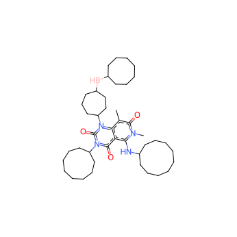 Cc1c(=O)n(C)c(NC2CCCCCCCCC2)c2c(=O)n(C3CCCCCCCC3)c(=O)n(C3CCCC(BC4CCCCCCC4)CC3)c12